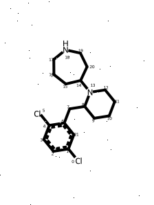 Clc1ccc(Cl)c(CC2CCCCN2C2CCCNCC2)c1